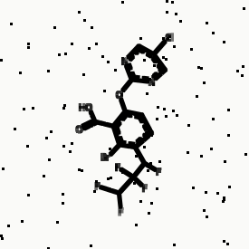 O=C(O)c1c(Oc2ncc(Cl)cn2)ccc(C(F)C(F)(F)C(F)F)c1Br